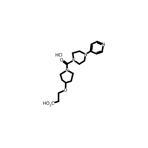 Cl.O=C(O)CCOC1CCN(C(=O)N2CCN(c3ccncc3)CC2)CC1